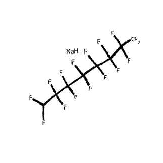 FC(F)C(F)(F)C(F)(F)C(F)(F)C(F)(F)C(F)(F)C(F)(F)C(F)(F)F.[NaH]